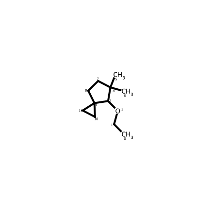 CCOC1C(C)(C)CCC12CC2